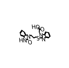 O=C(O)Cn1c(SCCCn2c(=O)[nH]c3ccccc32)nc2ccccc21